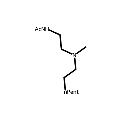 CCCCCCCN(C)CCNC(C)=O